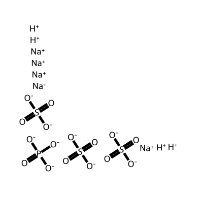 O=P([O-])([O-])[O-].O=S(=O)([O-])[O-].O=S(=O)([O-])[O-].O=S(=O)([O-])[O-].[H+].[H+].[H+].[H+].[Na+].[Na+].[Na+].[Na+].[Na+]